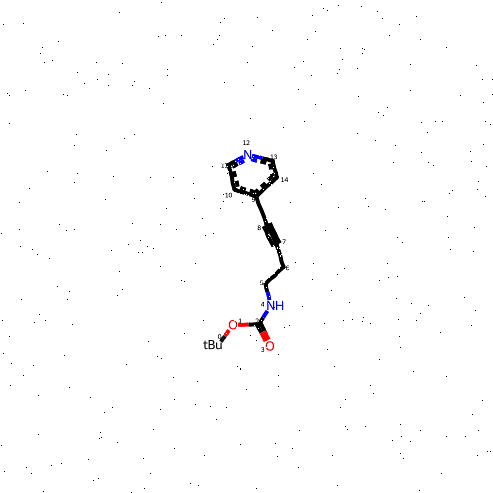 CC(C)(C)OC(=O)NCCC#Cc1ccncc1